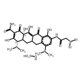 CCN(CC)CC(=O)Nc1cc(N(C)C)c2c(c1O)C(=O)C1=C(O)[C@]3(O)C(=O)C(C(N)=O)=C(O)[C@@H](N(C)C)C3CC1C2.O=S(=O)(O)O